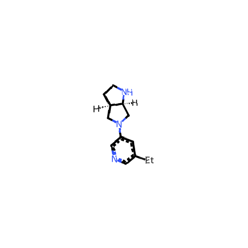 CCc1cncc(N2C[C@H]3CCN[C@H]3C2)c1